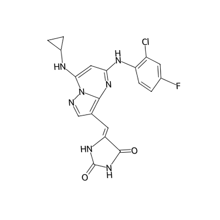 O=C1NC(=O)/C(=C/c2cnn3c(NC4CC4)cc(Nc4ccc(F)cc4Cl)nc23)N1